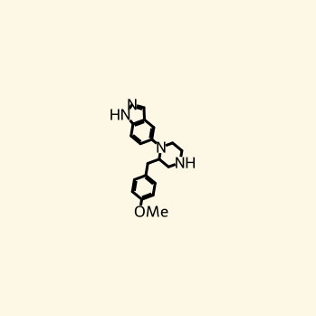 COc1ccc(CC2CNCCN2c2ccc3[nH]ncc3c2)cc1